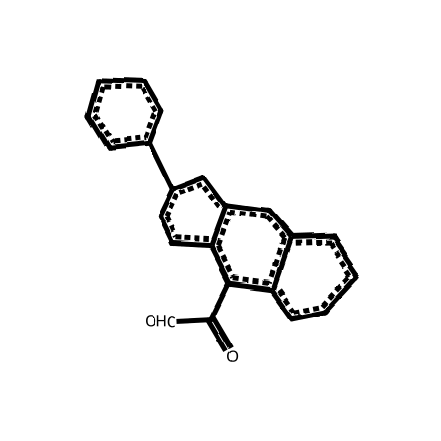 O=CC(=O)c1c2ccccc2cc2cc(-c3ccccc3)ccc12